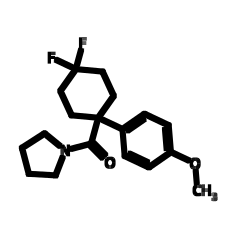 COc1ccc(C2(C(=O)N3CCCC3)CCC(F)(F)CC2)cc1